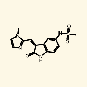 Cn1ccnc1C=C1C(=O)Nc2ccc(NS(C)(=O)=O)cc21